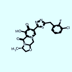 C[C@@H]1COC2Cn3cc(-c4nnc(Cc5cccc(Cl)c5F)s4)c(=O)c(O)c3C(=O)N21